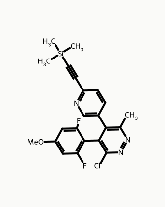 COc1cc(F)c(-c2c(Cl)nnc(C)c2-c2ccc(C#C[Si](C)(C)C)nc2)c(F)c1